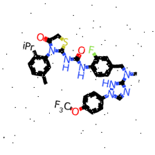 Cc1ccc(C(C)C)c(N2C(=O)CSC2NC(=O)Nc2ccc(CN(C)C3N=CN(c4ccc(OC(F)(F)F)cc4)N3)cc2F)c1